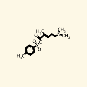 CC(=CCCN(C)C)C(=O)OS(=O)(=O)c1ccc(C)cc1